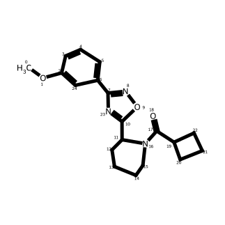 COc1cccc(-c2noc(C3CCCCN3C(=O)C3CCC3)n2)c1